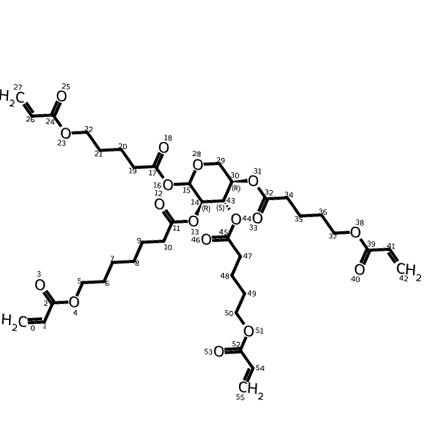 C=CC(=O)OCCCCCCC(=O)O[C@H]1C(OC(=O)CCCCOC(=O)C=C)OC[C@@H](OC(=O)CCCCOC(=O)C=C)[C@@H]1OC(=O)CCCCOC(=O)C=C